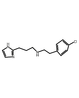 Clc1ccc(CCNCCCc2ncc[nH]2)cc1